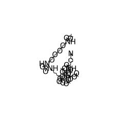 COC(=O)[C@@]1(OCCCCCCNc2c(NCCOCCOCCOCCOCCNC(=O)OC(C)(C)C)c(=O)c2=O)C[C@H](OC(C)=O)[C@@H](NC(=O)COC(C)=O)[C@H]([C@H](OC(C)=O)[C@@H](CNC(=O)Cc2ccc(C#N)cc2)OC(C)=O)O1